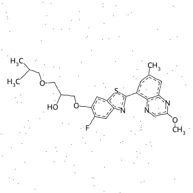 COc1cnc2c(-c3nc4cc(F)c(OCC(O)COCC(C)C)cc4s3)cc(C)cc2n1